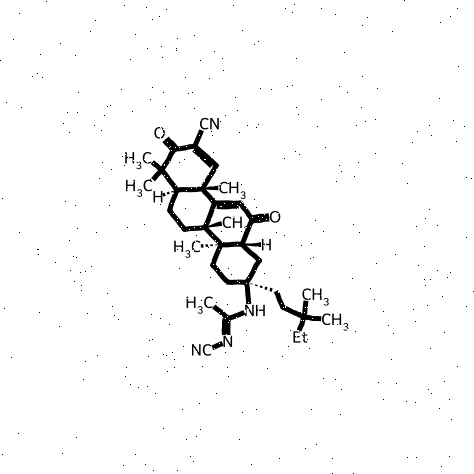 CCC(C)(C)CC[C@]1(N/C(C)=N/C#N)CC[C@]2(C)[C@@H](C1)C(=O)C=C1[C@@]3(C)C=C(C#N)C(=O)C(C)(C)[C@@H]3CC[C@]12C